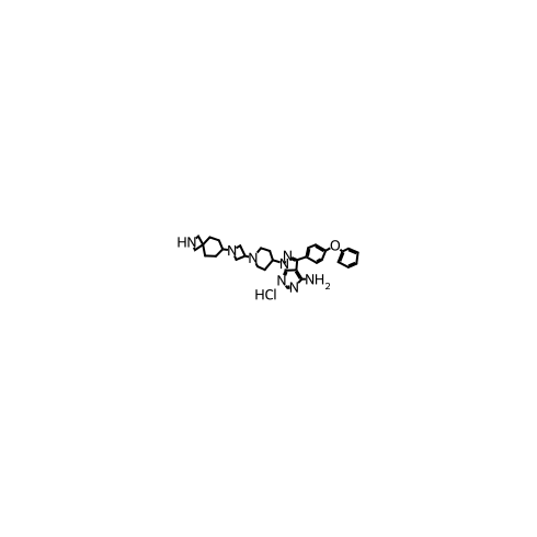 Cl.Nc1ncnc2c1c(-c1ccc(Oc3ccccc3)cc1)nn2C1CCN(C2CN(C3CCC4(CC3)CNC4)C2)CC1